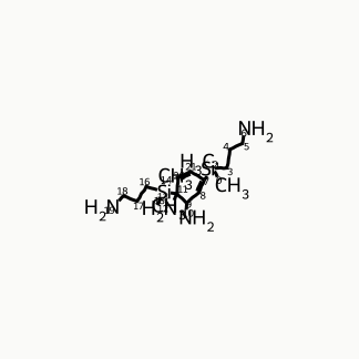 C[Si](C)(CCCN)C1=CC(N)C(N)([Si](C)(C)CCCN)C=C1